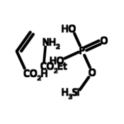 C=CC(=O)O.CCOC(N)=O.O=P(O)(O)O[SiH3]